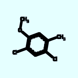 COc1cc(C)c(Cl)cc1Cl